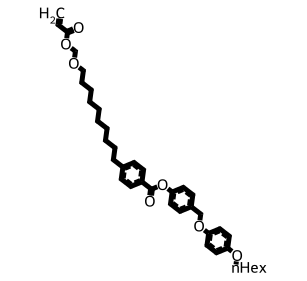 C=CC(=O)OCOCCCCCCCCCCc1ccc(C(=O)Oc2ccc(COc3ccc(OCCCCCC)cc3)cc2)cc1